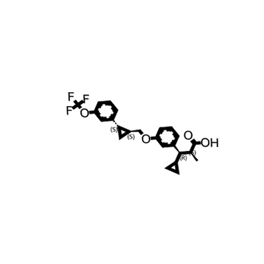 C[C@H](C(=O)O)[C@H](c1cccc(OC[C@H]2C[C@@H]2c2cccc(OC(F)(F)F)c2)c1)C1CC1